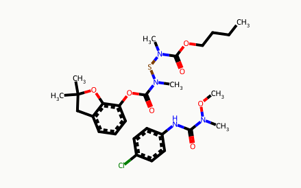 CCCCOC(=O)N(C)SN(C)C(=O)Oc1cccc2c1OC(C)(C)C2.CON(C)C(=O)Nc1ccc(Cl)cc1